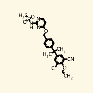 C=COc1c(Cl)cc(C(C)(C)c2ccc(COc3ccnc(NS(C)(=O)=O)n3)cc2)cc1C#N